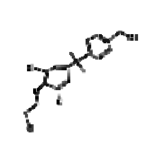 CC(C)(c1ccc(CO)cc1)c1cc(Cl)c(OCCCl)c(Cl)c1